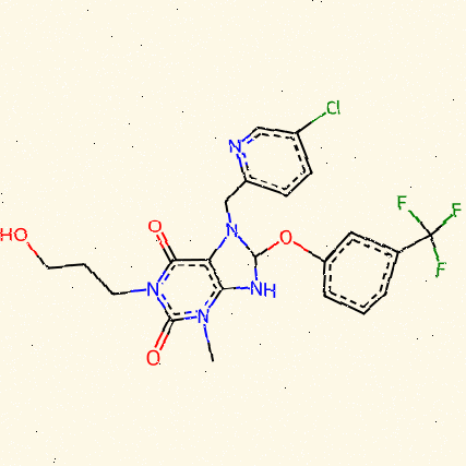 Cn1c2c(c(=O)n(CCCO)c1=O)N(Cc1ccc(Cl)cn1)C(Oc1cccc(C(F)(F)F)c1)N2